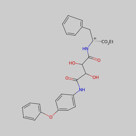 CCOC(=O)[C@@H](Cc1ccccc1)NC(=O)C(O)C(O)C(=O)Nc1ccc(Oc2ccccc2)cc1